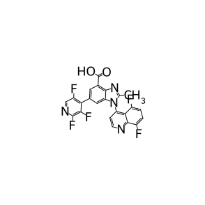 Cc1nc2c(C(=O)O)cc(-c3c(F)cnc(F)c3F)cc2n1-c1ccnc2c(F)ccc(F)c12